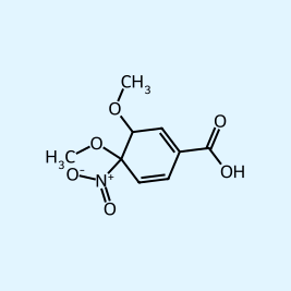 COC1C=C(C(=O)O)C=CC1(OC)[N+](=O)[O-]